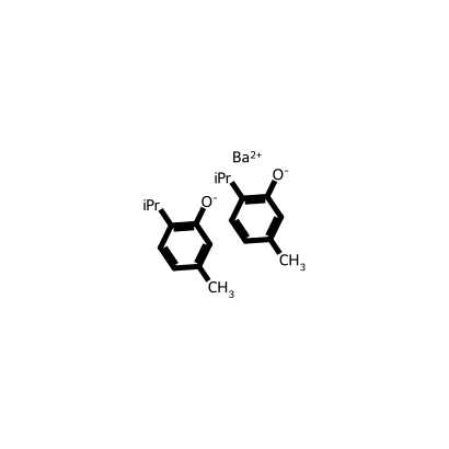 Cc1ccc(C(C)C)c([O-])c1.Cc1ccc(C(C)C)c([O-])c1.[Ba+2]